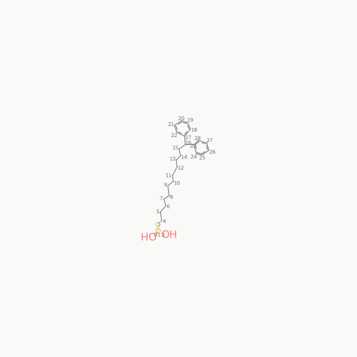 OP(O)SCCCCCCCCCCCCC(c1ccccc1)c1ccccc1